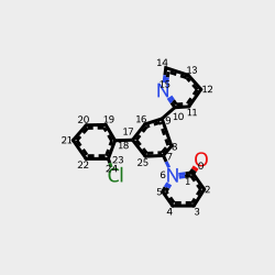 O=c1ccccn1-c1cc(-c2ccccn2)cc(-c2ccccc2Cl)c1